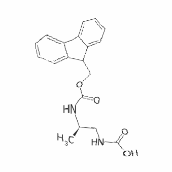 C[C@H](CNC(=O)O)NC(=O)OCC1c2ccccc2-c2ccccc21